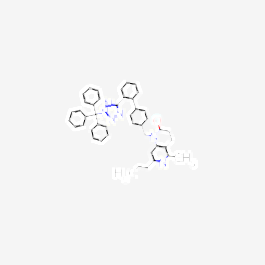 CCCc1cc2c(c(C)n1)CCC(=O)N2Cc1ccc(-c2ccccc2-c2nnn(C(c3ccccc3)(c3ccccc3)c3ccccc3)n2)cc1